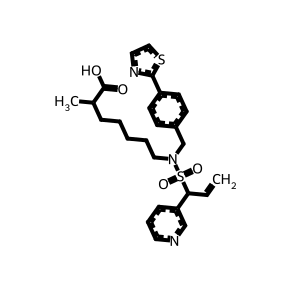 C=CC(c1cccnc1)S(=O)(=O)N(CCCCCC(C)C(=O)O)Cc1ccc(-c2nccs2)cc1